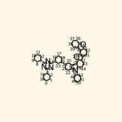 c1ccc(-c2nc(-c3ccccc3)nc(-c3cccc(-c4ccc5c(c4)c4c6oc7c(ccc8oc9ccccc9c87)c6ccc4n5-c4ccccc4)c3)n2)cc1